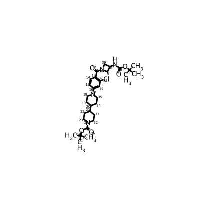 CC(C)(C)OC(=O)NC1CN(C(=O)c2ccc(N3CCC(C4CCN(C(=O)OC(C)(C)C)CC4)CC3)cc2Cl)C1